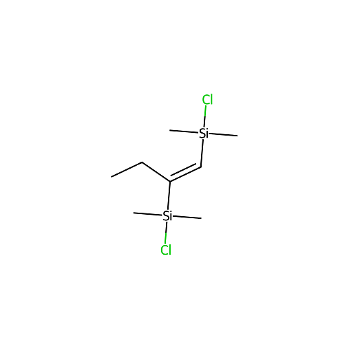 CCC(=C[Si](C)(C)Cl)[Si](C)(C)Cl